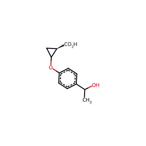 CC(O)c1ccc(OC2C[C@H]2C(=O)O)cc1